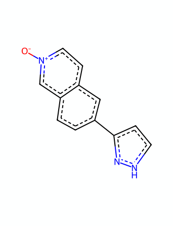 [O-][n+]1ccc2cc(-c3cc[nH]n3)ccc2c1